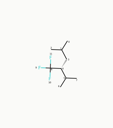 CC(C)C[C@H](C(C)C)C(F)(F)F